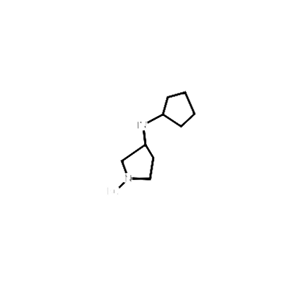 CC(C)(C)N1CCC(NC2CCCC2)C1